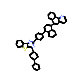 c1ccc(-c2ccc(-c3nc(-c4ccc(-c5ccc(-c6cc7cccnc7c7ccccc67)c6ccccc56)cc4)nc4c3sc3ccccc34)cc2)cc1